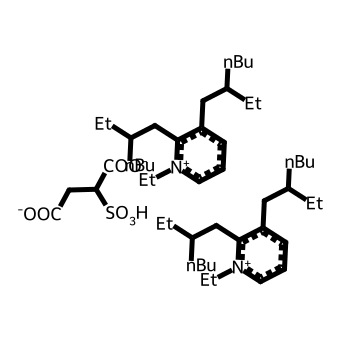 CCCCC(CC)Cc1ccc[n+](CC)c1CC(CC)CCCC.CCCCC(CC)Cc1ccc[n+](CC)c1CC(CC)CCCC.O=C([O-])CC(C(=O)[O-])S(=O)(=O)O